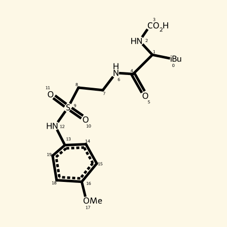 CCC(C)C(NC(=O)O)C(=O)NCCS(=O)(=O)Nc1ccc(OC)cc1